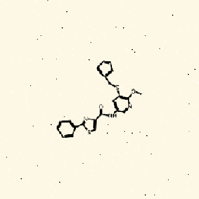 COc1ncc(NC(=O)c2csc(-c3ccccc3)n2)cc1SCc1ccccc1